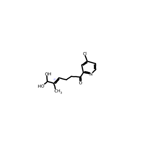 C/C(=C\CCC(=O)c1cc(Cl)ccn1)C(O)O